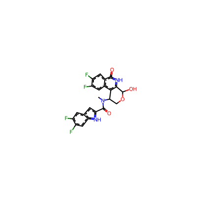 CN(C(=O)c1cc2cc(F)c(F)cc2[nH]1)C1COC(O)c2[nH]c(=O)c3cc(F)c(F)cc3c21